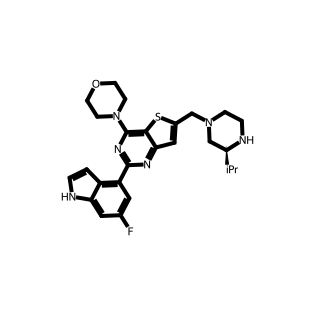 CC(C)[C@H]1CN(Cc2cc3nc(-c4cc(F)cc5[nH]ccc45)nc(N4CCOCC4)c3s2)CCN1